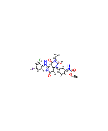 Cc1c(=O)n(C)c(Nc2ccc(I)cc2F)c2c(=O)n(C3CC3)c(=O)n(-c3cccc(NC(=O)OC(C)(C)C)c3)c12